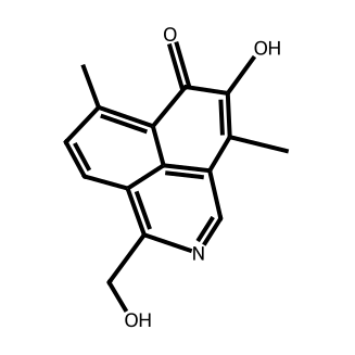 CC1=C(O)C(=O)c2c(C)ccc3c(CO)ncc1c23